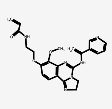 C=CC(=O)NCCOc1ccc2c(c1OC)N=C(NC(=C)c1cccnc1)N1CCN=C21